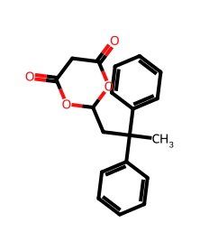 CC(CC1OC(=O)CC(=O)O1)(c1ccccc1)c1ccccc1